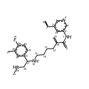 C=Cc1cncc(NC(=C)C(=C)CCCCNC(CBC)c2ccc(F)c(C)c2)c1